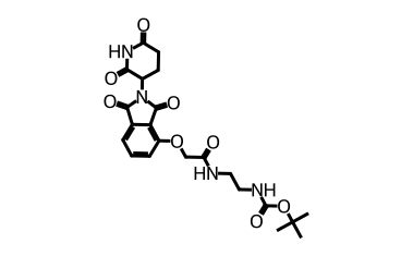 CC(C)(C)OC(=O)NCCNC(=O)COc1cccc2c1C(=O)N(C1CCC(=O)NC1=O)C2=O